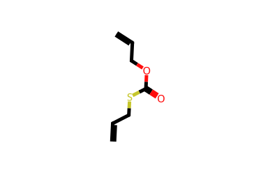 C=CCOC(=O)SCC=C